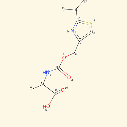 CC(NC(=O)OCc1csc(C(C)C)n1)C(=O)O